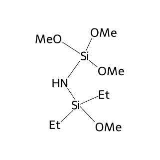 CC[Si](CC)(N[Si](OC)(OC)OC)OC